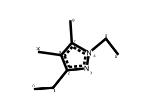 CCc1nn(CC)c(C)c1C